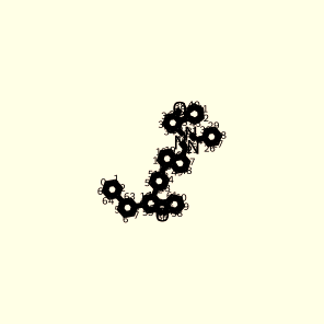 c1ccc(-c2cccc(-c3cc(-c4ccc(-c5cccc6c(-c7nc(-c8ccccc8)nc(-c8cccc9oc%10ccccc%10c89)n7)cccc56)cc4)c4c(c3)oc3ccccc34)c2)cc1